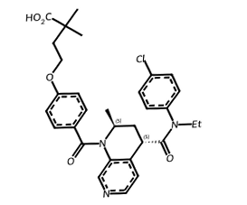 CCN(C(=O)[C@H]1C[C@H](C)N(C(=O)c2ccc(OCCC(C)(C)C(=O)O)cc2)c2cnccc21)c1ccc(Cl)cc1